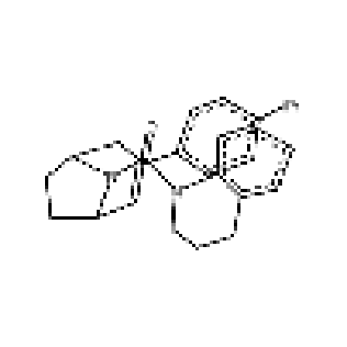 CC(C)c1ccc(C2=CC3CCC(C2)N3C(=O)N2CCCc3ccccc32)cc1